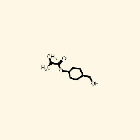 C=C(C)C(=O)OC1CCC(CO)CC1